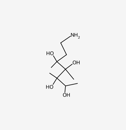 CC(O)C(C)(O)C(C)(O)C(C)(O)CCN